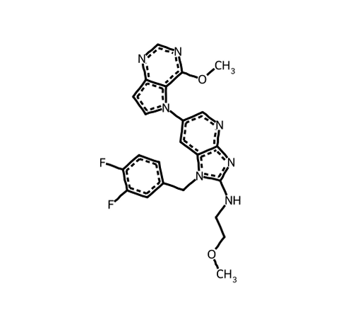 COCCNc1nc2ncc(-n3ccc4ncnc(OC)c43)cc2n1Cc1ccc(F)c(F)c1